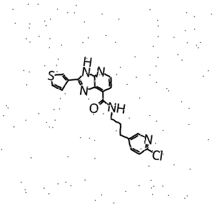 O=C(NCCCc1ccc(Cl)nc1)c1ccnc2[nH]c(-c3ccsc3)nc12